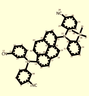 [C-]#[N+]c1cccc(N(c2cccc([N+]#[C-])c2)c2ccc3ccc4c(N(c5cccc(C#N)c5)c5ccccc5[Si](C)(C)C)ccc5ccc2c3c54)c1